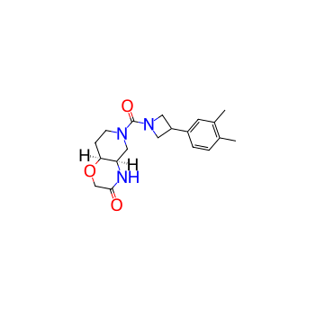 Cc1ccc(C2CN(C(=O)N3CC[C@@H]4OCC(=O)N[C@@H]4C3)C2)cc1C